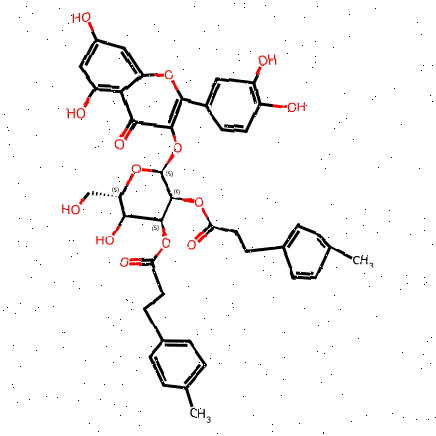 Cc1ccc(CCC(=O)O[C@@H]2[C@H](Oc3c(-c4ccc(O)c(O)c4)oc4cc(O)cc(O)c4c3=O)O[C@@H](CO)C(O)[C@@H]2OC(=O)CCc2ccc(C)cc2)cc1